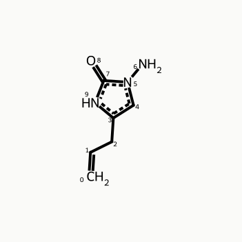 C=CCc1cn(N)c(=O)[nH]1